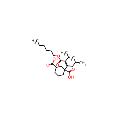 CCCCCCOC(=O)C(CC)=C(CC(C)C)C1(C(=O)O)CCCC(C(=O)O)C1